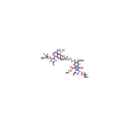 C=CCOC(=O)Nc1cc(OCCCCCOc2cc(NC(=O)O)c(C(=O)N3CC(=C)C[C@H]3CO[Si](C)(C)C(C)(C)C)cc2OC)c(OC)cc1C(=O)N1CC(=C)C[C@H]1CO[Si](C)(C)C(C)(C)C